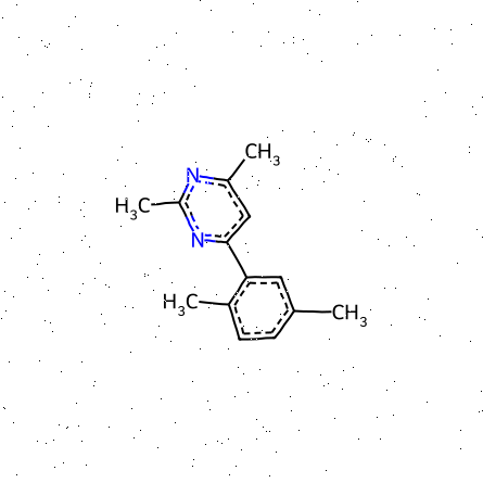 Cc1ccc(C)c(-c2cc(C)nc(C)n2)c1